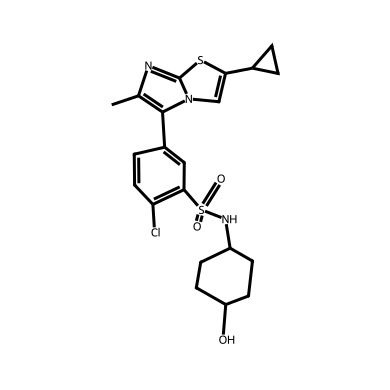 Cc1nc2sc(C3CC3)cn2c1-c1ccc(Cl)c(S(=O)(=O)NC2CCC(O)CC2)c1